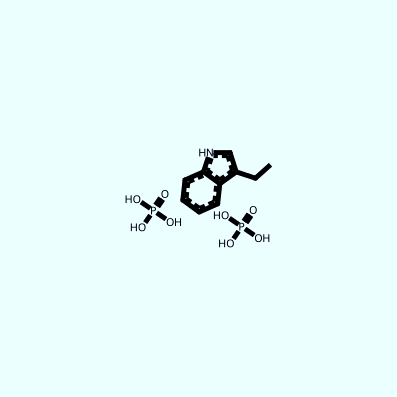 CCc1c[nH]c2ccccc12.O=P(O)(O)O.O=P(O)(O)O